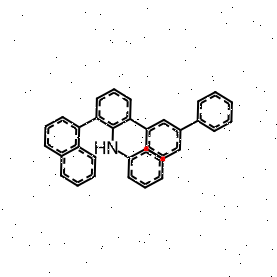 c1ccc(Nc2c(-c3cccc(-c4ccccc4)c3)cccc2-c2cccc3ccccc23)cc1